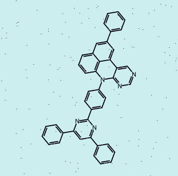 c1ccc(-c2cc3c4c(cccc4c2)N(c2ccc(-c4nc(-c5ccccc5)cc(-c5ccccc5)n4)cc2)c2ncncc2-3)cc1